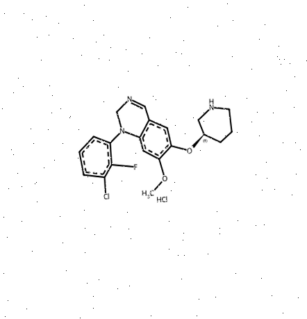 COc1cc2c(cc1O[C@@H]1CCCNC1)C=NCN2c1cccc(Cl)c1F.Cl